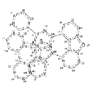 c1ccc(-c2nc(-c3ccccc3)nc(-c3cccc4oc5cccc(-c6ccc7c8ccccc8c8ccccc8c7c6)c5c34)n2)cc1